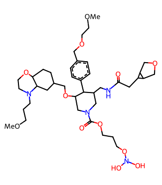 COCCCN1CCOC2CCC(COC3CN(C(=O)OCCCON(O)O)CC(CNC(=O)CC4C5COCC54)C3c3ccc(COCCOC)cc3)CC21